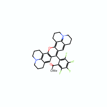 COC(=O)c1c(F)c(F)c(F)c(F)c1C1=c2cc3c4c(c2Oc2c1cc1c5c2CCCN5CCC1)CCC[N+]=4CCC3